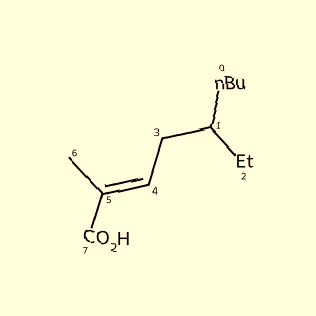 CCCCC(CC)C/C=C(\C)C(=O)O